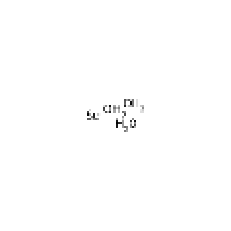 O.O.O.[Sc]